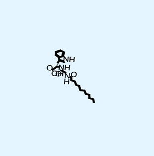 CCCCCCCCCCCC(=O)NCC(=O)N[C@@H](Cc1c[nH]c2ccccc12)C(=O)O